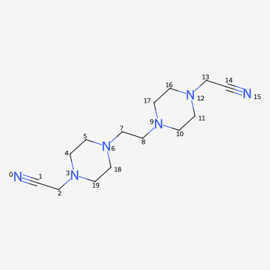 N#CCN1CCN(CCN2CCN(CC#N)CC2)CC1